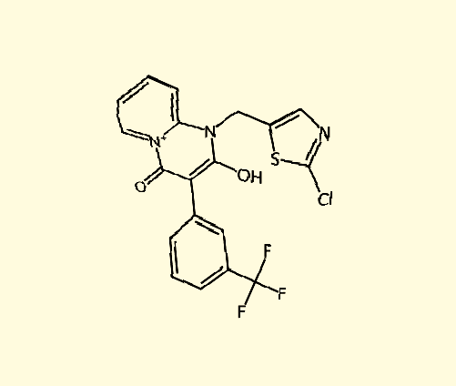 O=c1c(-c2cccc(C(F)(F)F)c2)c(O)n(Cc2cnc(Cl)s2)c2cccc[n+]12